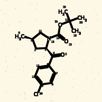 C[C@@H]1C[C@H](C(=O)c2ccc(Cl)cc2)N(C(=O)OC(C)(C)C)C1